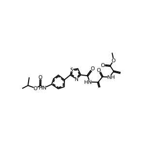 C=C(NC(=O)c1csc(-c2ccc(NC(=O)OC(C)C)cc2)n1)C(=O)NC(=C)C(=O)OC